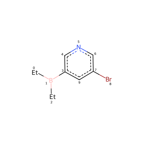 CCB(CC)c1cncc(Br)c1